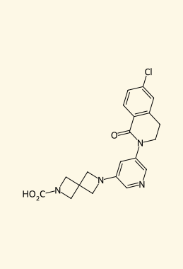 O=C(O)N1CC2(C1)CN(c1cncc(N3CCc4cc(Cl)ccc4C3=O)c1)C2